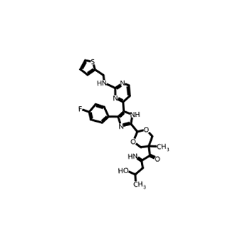 CC(O)CC(=N)C(=O)C1(C)COC(c2nc(-c3ccc(F)cc3)c(-c3ccnc(NCc4cccs4)n3)[nH]2)OC1